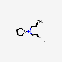 C=CCN(CC=C)B1CC=CC1